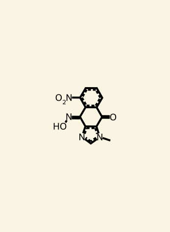 Cn1cnc2c1C(=O)c1cccc([N+](=O)[O-])c1C2=NO